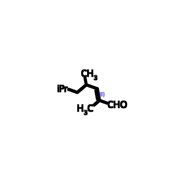 C/C(C=O)=C\C(C)CC(C)C